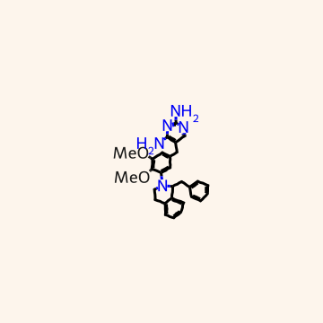 COc1cc(Cc2cnc(N)nc2N)cc(N2CCc3ccccc3C2Cc2ccccc2)c1OC